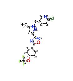 Cc1cc(-c2noc(-c3ccc(OC(F)(F)F)cc3)n2)nn1Cc1ccc(Cl)nc1